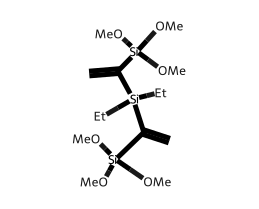 C=C([Si](OC)(OC)OC)[Si](CC)(CC)C(=C)[Si](OC)(OC)OC